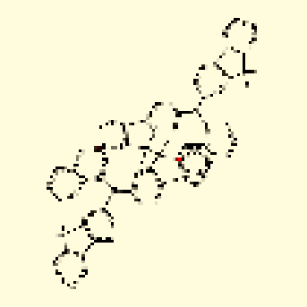 CC1(C)c2ccccc2-c2ccc(N(c3ccc4c(c3)C(C)(C3(C)c5ccccc5-c5ccc(N(c6ccc7c(c6)C(C)(C)c6ccccc6-7)c6cccc7ccccc67)cc53)c3ccccc3-4)c3cccc4ccccc34)cc21